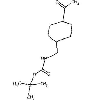 CC(=O)C1CCC(CNC(=O)OC(C)(C)C)CC1